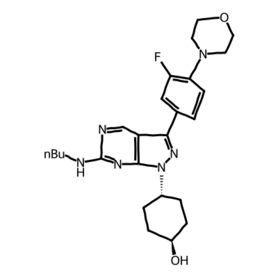 CCCCNc1ncc2c(-c3ccc(N4CCOCC4)c(F)c3)nn([C@H]3CC[C@H](O)CC3)c2n1